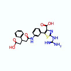 N=C(N)Nc1nc(C(=O)O)c(-c2cccc(NC(=O)CC(CC(=O)O)c3ccccc3)c2)s1